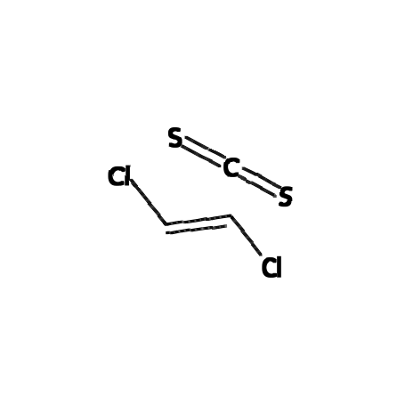 ClC=CCl.S=C=S